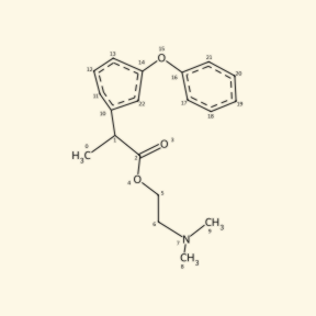 CC(C(=O)OCCN(C)C)c1cccc(Oc2ccccc2)c1